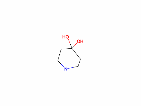 OC1(O)CC[N]CC1